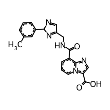 Cc1cccc(C2N=CC(CNC(=O)c3cccn4c(C(=O)O)cnc34)=N2)c1